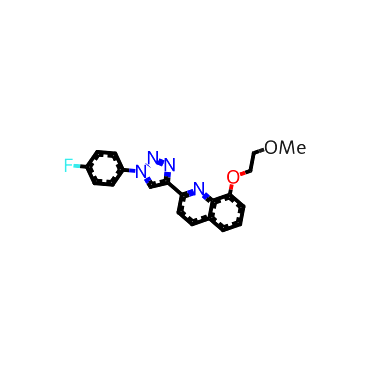 COCCOc1cccc2ccc(-c3cn(-c4ccc(F)cc4)nn3)nc12